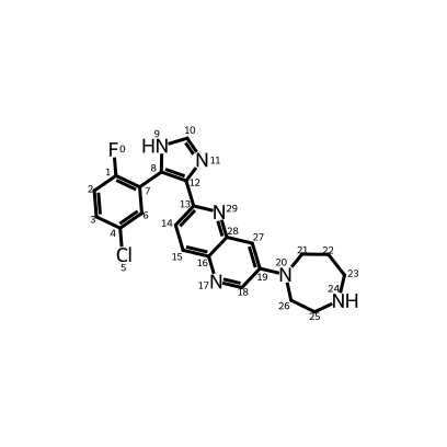 Fc1ccc(Cl)cc1-c1[nH]cnc1-c1ccc2ncc(N3CCCNCC3)cc2n1